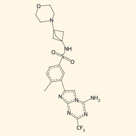 Cc1ccc(S(=O)(=O)NC23CC(N4CCOCC4)(C2)C3)cc1-c1cn2c(N)nc(C(F)(F)F)nc2n1